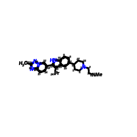 CNCCN1CCC(c2ccc3[nH]c(-c4ccc5nc(C)nn5c4)c(C(C)C)c3c2)CC1